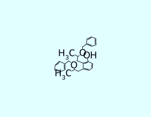 CC(Cc1cccc(O)c1CC(C)OCc1ccccc1)OCc1ccccc1